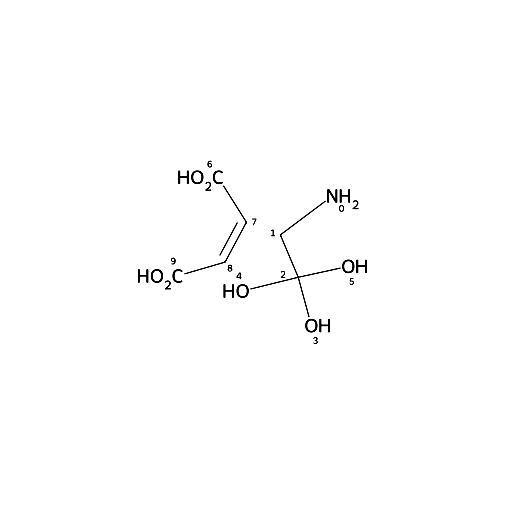 NCC(O)(O)O.O=C(O)/C=C\C(=O)O